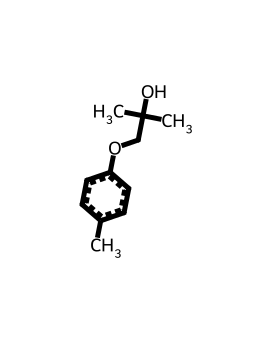 Cc1ccc(OCC(C)(C)O)cc1